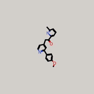 COc1ccc(-c2cc(CC(=O)c3cccc(C)n3)ccn2)cc1